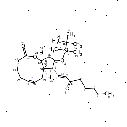 CCCCCC(=O)/C=C/[C@H]1C(O[Si](C)(C)C(C)(C)C)C[C@@H]2OC(=O)CCC/C=C\C[C@@H]21